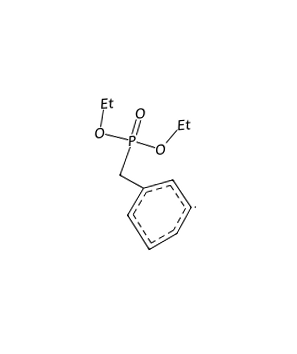 CCOP(=O)(Cc1c[c]ccc1)OCC